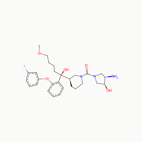 COCCCC[C@@](O)(c1ccccc1Oc1cccc(F)c1)[C@@H]1CCCN(C(=O)N2C[C@@H](N)[C@@H](O)C2)C1